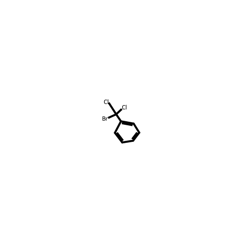 ClC(Cl)(Br)c1ccccc1